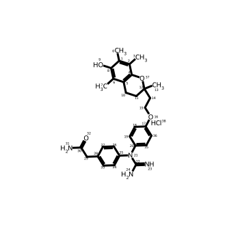 Cc1c(C)c2c(c(C)c1O)CCC(C)(CCOc1ccc(N(C(=N)N)c3ccc(CC(N)=O)cc3)cc1)O2.Cl